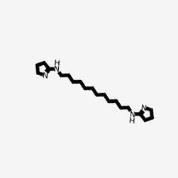 C(CCCCCCNC1=NCCC1)CCCCCNC1=NCCC1